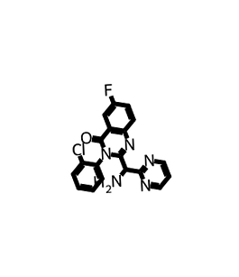 NC(c1ncccn1)c1nc2ccc(F)cc2c(=O)n1-c1ccccc1Cl